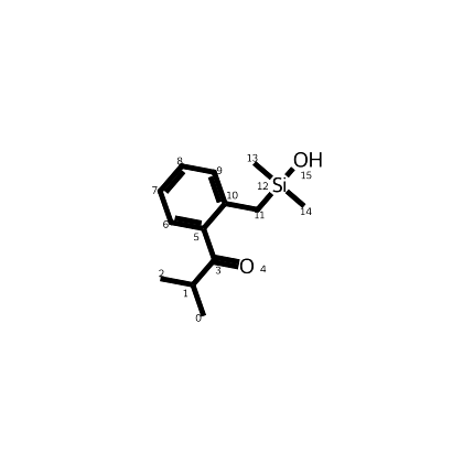 CC(C)C(=O)c1ccccc1C[Si](C)(C)O